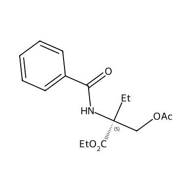 CCOC(=O)[C@](CC)(COC(C)=O)NC(=O)c1ccccc1